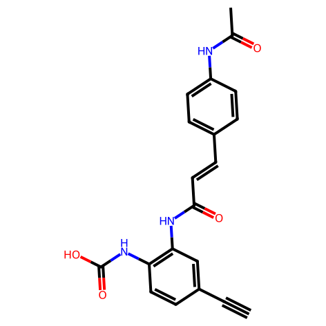 C#Cc1ccc(NC(=O)O)c(NC(=O)C=Cc2ccc(NC(C)=O)cc2)c1